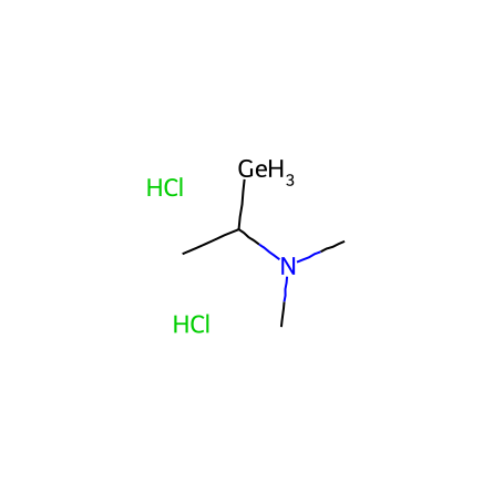 C[CH]([GeH3])N(C)C.Cl.Cl